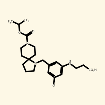 O=C(O)CCNc1cc(Cl)cc(CN2CCCC23CCN(C(=O)OC(C(F)(F)F)C(F)(F)F)CC3)c1